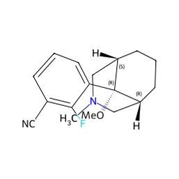 CO[C@@]1(c2cccc(C#N)c2F)[C@@H]2CCC[C@H]1CN(C)C2